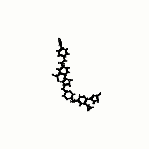 Cc1cc(-c2cnc(NC3CCC(Cc4cc(-c5cnc(NCc6ccc(C#N)cc6)nc5C(C)C)on4)CC3)nc2C2CC2)on1